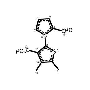 Cc1sc(-n2cccc2C=O)c(C(=O)O)c1C